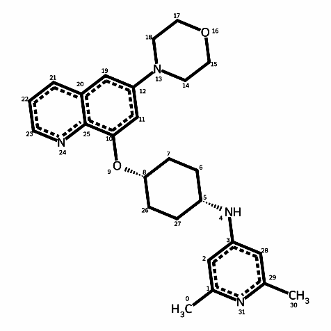 Cc1cc(N[C@H]2CC[C@@H](Oc3cc(N4CCOCC4)cc4cccnc34)CC2)cc(C)n1